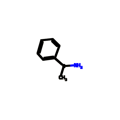 CB(N)c1ccccc1